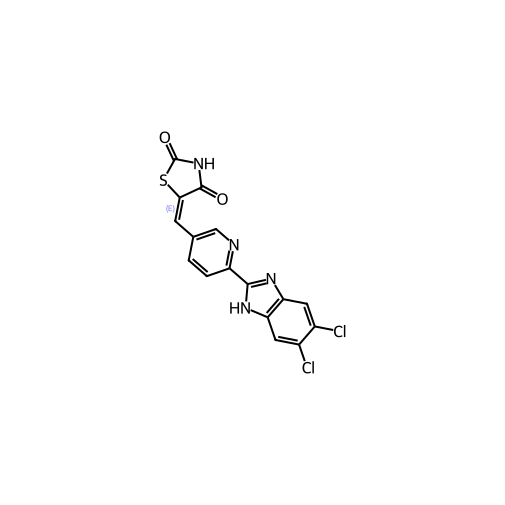 O=C1NC(=O)/C(=C\c2ccc(-c3nc4cc(Cl)c(Cl)cc4[nH]3)nc2)S1